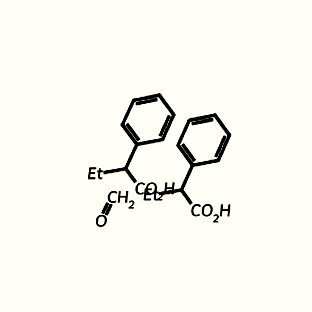 C=O.CCC(C(=O)O)c1ccccc1.CCC(C(=O)O)c1ccccc1